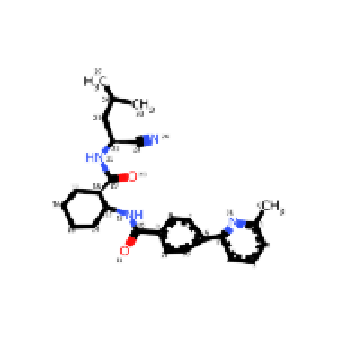 Cc1cccc(-c2ccc(C(=O)NC3CCCC[C@H]3C(=O)N[C@H](C#N)CC(C)C)cc2)n1